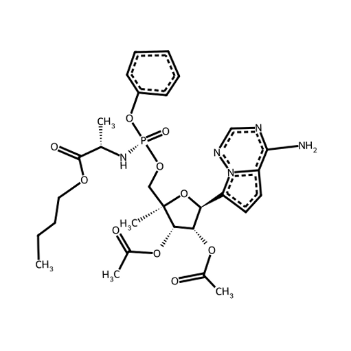 CCCCOC(=O)[C@H](C)N[P@](=O)(OC[C@@]1(C)O[C@@H](c2ccc3c(N)ncnn23)[C@H](OC(C)=O)[C@@H]1OC(C)=O)Oc1ccccc1